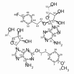 COc1ccc(CCOc2nc(N)c3ncn([C@@H]4O[C@H](CO)[C@@H](O)[C@H]4O)c3n2)cc1.Nc1ncnc2c1ncn2[C@]1(OCCc2ccc(F)cc2)O[C@H](CO)[C@@H](O)[C@H]1O